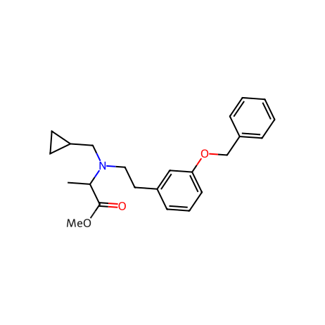 COC(=O)C(C)N(CCc1cccc(OCc2ccccc2)c1)CC1CC1